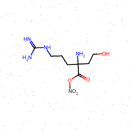 N=C(N)NCCCC(N)(CCO)C(=O)O[N+](=O)[O-]